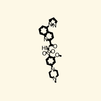 COc1cc(N2CCN(C)CC2)ccc1S(=O)(=O)NC(=O)c1ccc2c(-n3cccn3)cccc2n1